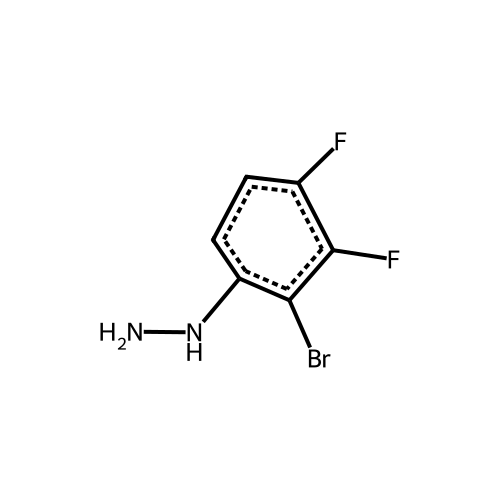 NNc1ccc(F)c(F)c1Br